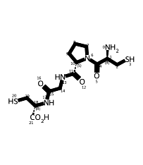 N[C@@H](CS)C(=O)N1CCC[C@H]1C(=O)NCC(=O)N[C@@H](CS)C(=O)O